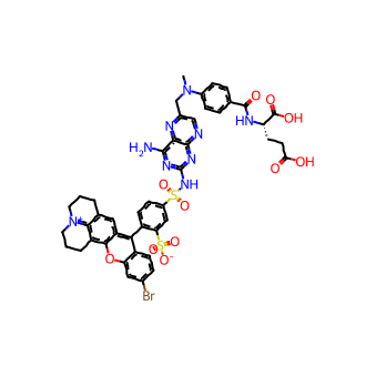 CN(Cc1cnc2nc(NS(=O)(=O)c3ccc(C4=c5cc6c7c(c5Oc5cc(Br)ccc54)CCC[N+]=7CCC6)c(S(=O)(=O)[O-])c3)nc(N)c2n1)c1ccc(C(=O)N[C@@H](CCC(=O)O)C(=O)O)cc1